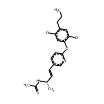 CCCc1cc(Cl)c(Oc2ccc(/C=C/[C@H](C)NC(C)=O)cn2)cc1Cl